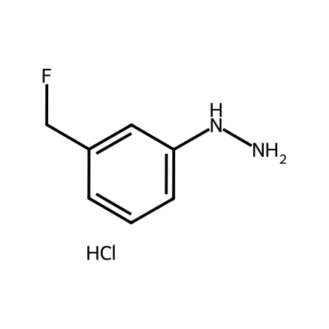 Cl.NNc1cccc(CF)c1